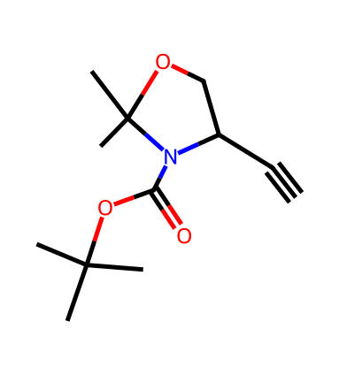 C#CC1COC(C)(C)N1C(=O)OC(C)(C)C